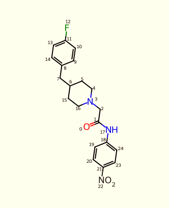 O=C(CN1CCC(Cc2ccc(F)cc2)CC1)Nc1ccc([N+](=O)[O-])cc1